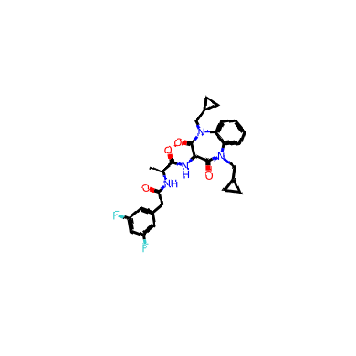 C[C@H](NC(=O)Cc1cc(F)cc(F)c1)C(=O)NC1C(=O)N(CC2CC2)c2ccccc2N(CC2CC2)C1=O